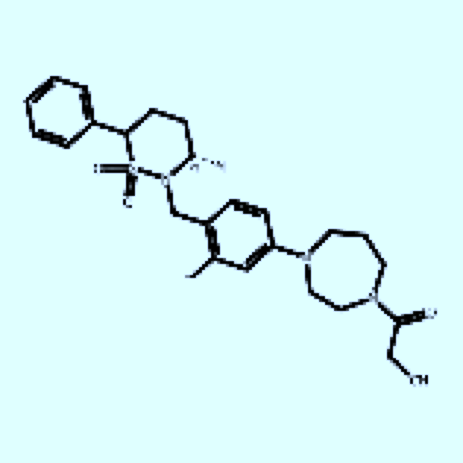 N#CCC(=O)N1CCCN(c2ccc(CN3[C@@H](I)CCC(c4ccccc4)S3(=O)=O)c(F)c2)CC1